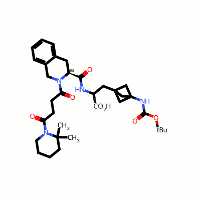 CC(C)(C)OC(=O)NC12CC(CC(NC(=O)[C@@H]3Cc4ccccc4CN3C(=O)CCC(=O)N3CCCCC3(C)C)C(=O)O)(C1)C2